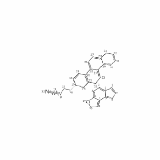 C1=Cc2ccc3c(c2=C1)=CCO3.[N-]=[N+]=NCC[C@@H]1C=CC2=C(CC=c3c2ccc2c3=CC=CC2)C1